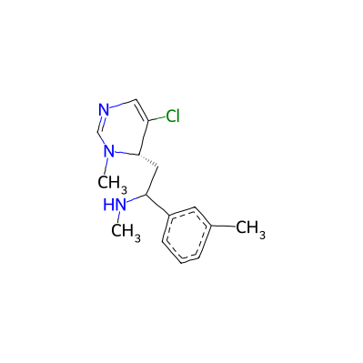 CNC(C[C@H]1C(Cl)=CN=CN1C)c1cccc(C)c1